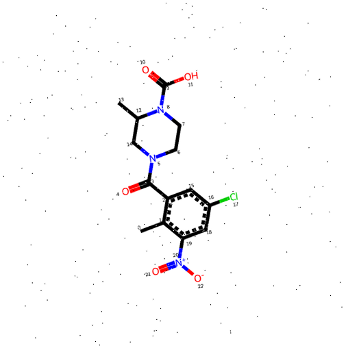 Cc1c(C(=O)N2CCN(C(=O)O)C(C)C2)cc(Cl)cc1[N+](=O)[O-]